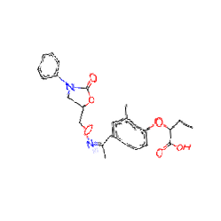 CCC(Oc1ccc(/C(C)=N\OCC2CN(c3ccccc3)C(=O)O2)cc1C)C(=O)O